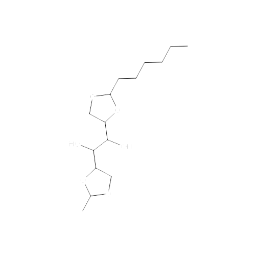 CCCCCCC1OCC(C(O)C(O)C2COC(C)O2)O1